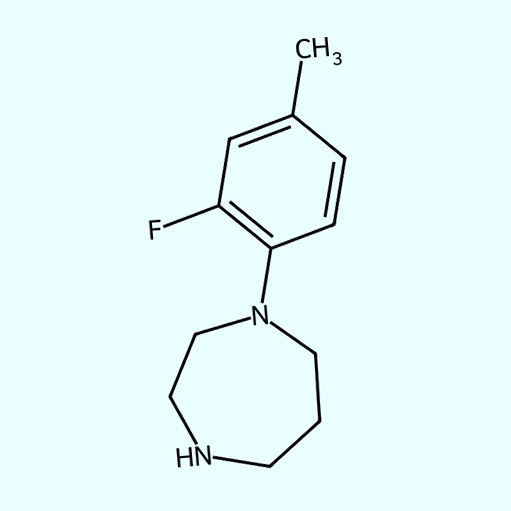 Cc1ccc(N2CCCNCC2)c(F)c1